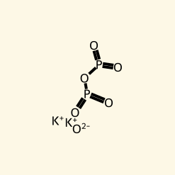 O=P(=O)OP(=O)=O.[K+].[K+].[O-2]